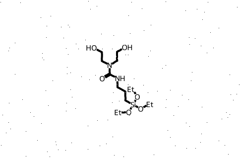 CCO[Si](CCCNC(=O)N(CCO)CCO)(OCC)OCC